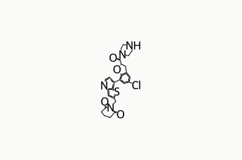 O=C(C1Cc2cc(Cl)cc(-c3ccnc4cc(CN5C(=O)CCCC5=O)sc34)c2O1)N1CCNCC1